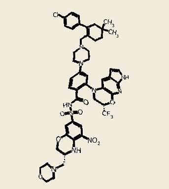 CC1(C)CCC(CN2CCN(c3ccc(C(=O)NS(=O)(=O)c4cc5c(c([N+](=O)[O-])c4)N[C@H](CN4CCOCC4)CO5)c(N4C[C@@H](C(F)(F)F)Oc5nc6[nH]ccc6cc54)c3)CC2)=C(c2ccc(Cl)cc2)C1